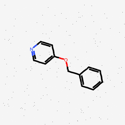 [c]1ccc(COc2ccncc2)cc1